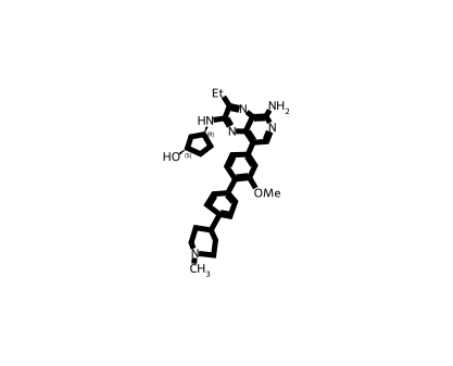 CCc1nc2c(N)ncc(-c3ccc(-c4ccc(C5CCN(C)CC5)cc4)c(OC)c3)c2nc1N[C@@H]1CC[C@H](O)C1